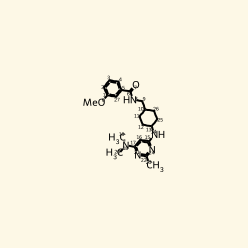 COc1cccc(C(=O)NCC2CCC(Nc3cc(N(C)C)nc(C)n3)CC2)c1